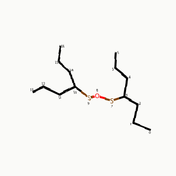 CCCC(CCC)SOSC(CCC)CCC